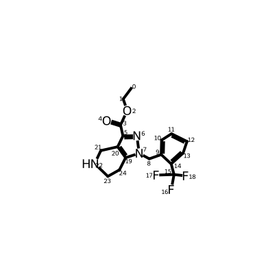 CCOC(=O)c1nn(Cc2ccccc2C(F)(F)F)c2c1CNCC2